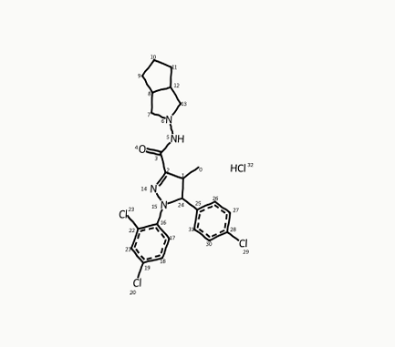 CC1C(C(=O)NN2CC3CCCC3C2)=NN(c2ccc(Cl)cc2Cl)C1c1ccc(Cl)cc1.Cl